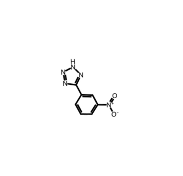 O=[N+]([O-])c1cccc(-c2nn[nH]n2)c1